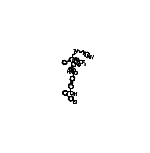 CN(CCCN1CCNCC1)CCC(CSc1ccccc1)Nc1ccc(S(=O)(=O)NC(=O)c2ccc(N3CCC([C@@H](O)c4ccccc4-c4ccc(Cl)cc4)CC3)cc2)cc1S(=O)(=O)C(F)(F)F